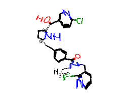 CN(Cc1cccnc1F)C(=O)c1ccc(C[C@@H]2CC[C@H](C(O)c3ccc(Cl)nc3)N2)cc1